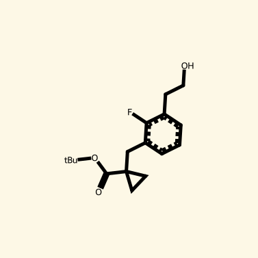 CC(C)(C)OC(=O)C1(Cc2cccc(CCO)c2F)CC1